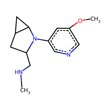 CNCC1CC2CC2N1c1cncc(OC)c1